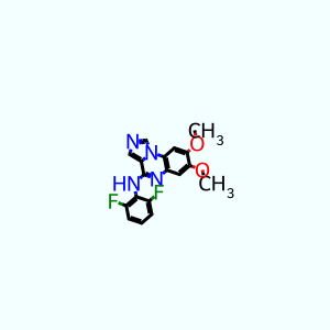 COc1cc2nc(Nc3c(F)cccc3F)c3cncn3c2cc1OC